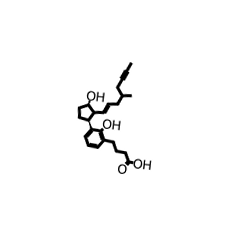 CC#CCC(C)C/C=C/C1[C@H](O)CC[C@@H]1c1cccc(CCCC(=O)O)c1O